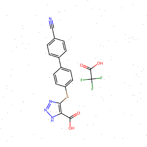 N#Cc1ccc(-c2ccc(Sc3nn[nH]c3C(=O)O)cc2)cc1.O=C(O)C(F)(F)F